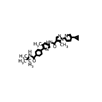 Cc1cc(NC(=O)c2cnn(-c3ccc(C4CC4)cn3)c2C)cnc1C1=CCC(C(=O)NC(C)(C)C)CC1